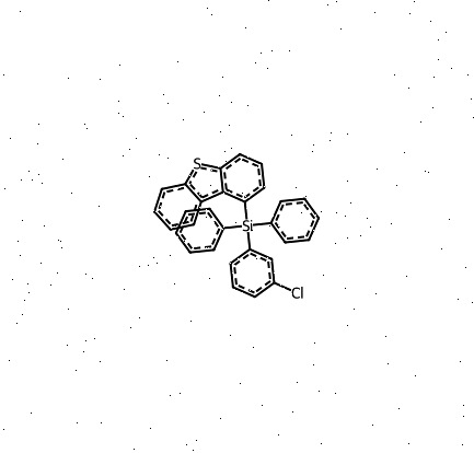 Clc1cccc([Si](c2ccccc2)(c2ccccc2)c2cccc3sc4ccccc4c23)c1